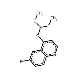 COB(OC)Oc1ccnc2ccc(F)cc12